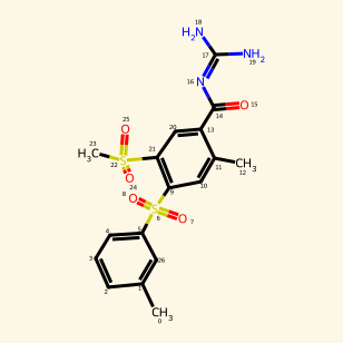 Cc1cccc(S(=O)(=O)c2cc(C)c(C(=O)N=C(N)N)cc2S(C)(=O)=O)c1